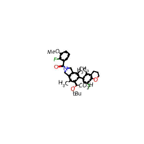 COc1cccc(C(=O)N2Cc3c(C)c(-c4cc(F)c5c(c4C)CCCO5)c([C@H](OC(C)(C)C)C(=O)O)c(C)c3C2)c1F